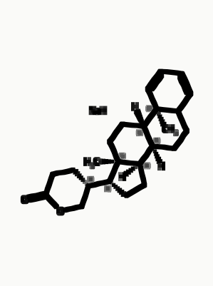 C[C@]12CC[C@H]3[C@@H](CCC4C=CC=C[C@@]43C)[C@H]1CC[C@@H]2[C@H]1CCC(=O)OC1.[NaH]